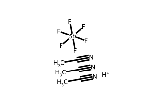 CC#N.CC#N.CC#N.[F][Sb-]([F])([F])([F])([F])[F].[H+]